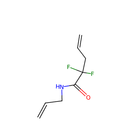 C=CCNC(=O)C(F)(F)CC=C